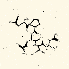 C[C@@H](O)[C@H](NC(=O)[C@H](CCC(N)=O)NC(=O)[C@@H]1CCCN1C(=O)[C@@H](N)CC(N)=O)C(=O)N[C@@H](CC(N)=O)C(=O)O